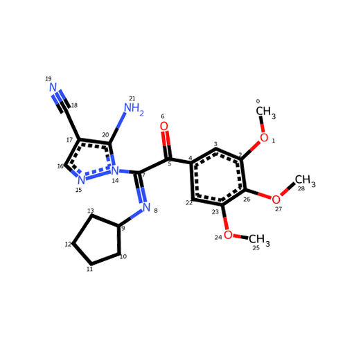 COc1cc(C(=O)C(=NC2CCCC2)n2ncc(C#N)c2N)cc(OC)c1OC